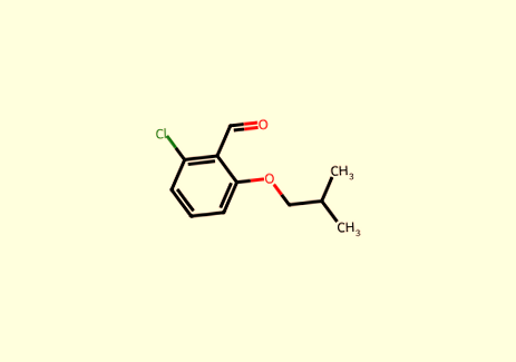 CC(C)COc1cccc(Cl)c1C=O